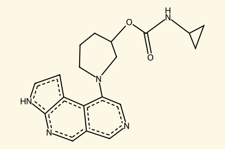 O=C(NC1CC1)OC1CCCN(c2cncc3cnc4[nH]ccc4c23)C1